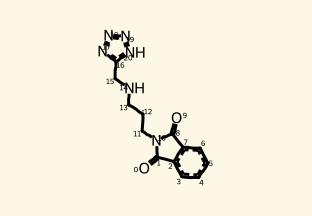 O=C1c2ccccc2C(=O)N1C[CH]CNCc1nnn[nH]1